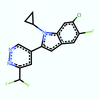 Fc1cc2cc(-c3cnnc(C(F)F)c3)n(C3CC3)c2cc1Cl